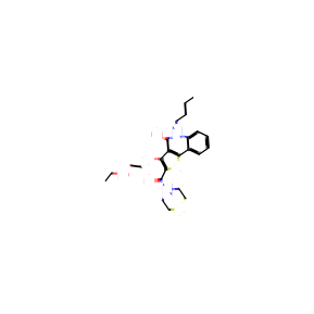 CCCCn1c(=O)c2c(OCCOCC)c(C(=O)N3CCSCC3)sc2c2ccccc21